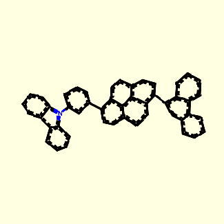 c1cc(-c2ccc3ccc4c(-c5cc6ccccc6c6ccccc56)ccc5ccc2c3c54)cc(-n2c3ccccc3c3ccccc32)c1